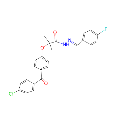 CC(C)(Oc1ccc(C(=O)c2ccc(Cl)cc2)cc1)C(=O)N/N=C/c1ccc(F)cc1